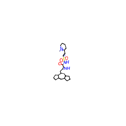 CN1CCCCC1/C=C/S(=O)(=O)NC(=O)C1NC1CC1CC2CCCC2CC2CCCC21